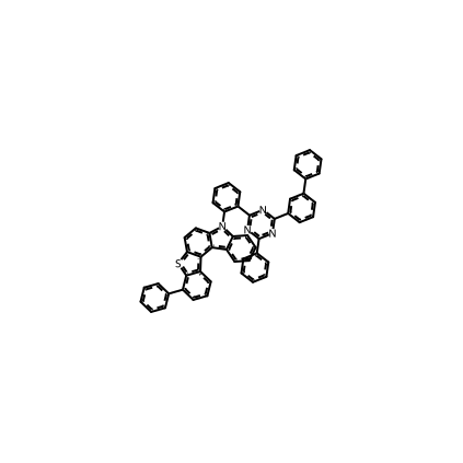 c1ccc(-c2cccc(-c3nc(-c4ccccc4)nc(-c4ccccc4-n4c5ccccc5c5c6c(ccc54)sc4c(-c5ccccc5)cccc46)n3)c2)cc1